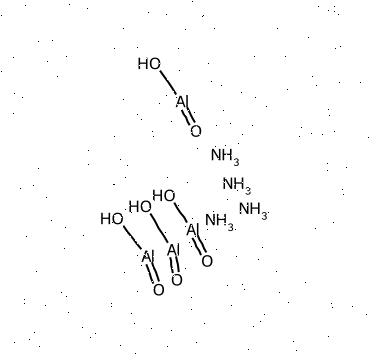 N.N.N.N.[O]=[Al][OH].[O]=[Al][OH].[O]=[Al][OH].[O]=[Al][OH]